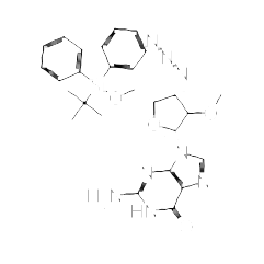 COC1[C@@H](N=[N+]=[N-])[C@@H](CO[Si](c2ccccc2)(c2ccccc2)C(C)(C)C)O[C@H]1n1cnc2c(=O)[nH]c(N)nc21